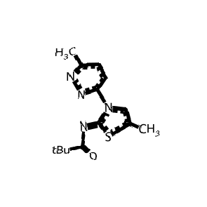 Cc1ccc(-n2cc(C)s/c2=N\C(=O)C(C)(C)C)nn1